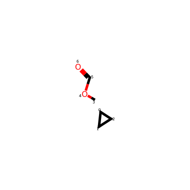 C1CC1.COC=O